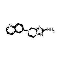 Nc1nc2n(n1)C=CN(c1ccc3ncccc3c1)C2